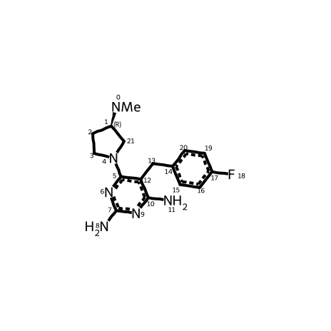 CN[C@@H]1CCN(c2nc(N)nc(N)c2Cc2ccc(F)cc2)C1